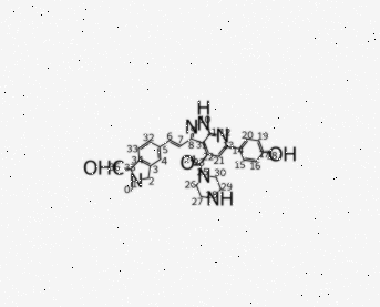 CN1Cc2cc(C=Cc3n[nH]c4nc(-c5ccc(O)cc5)cc(C(=O)N5CCNCC5)c34)ccc2C1C=O